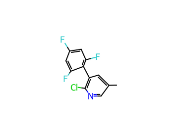 Cc1cnc(Cl)c(-c2c(F)cc(F)cc2F)c1